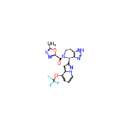 Cc1nnc(C(=O)N2CCc3[nH]cnc3[C@H]2c2cc3c(OC(F)(F)F)cccn3n2)o1